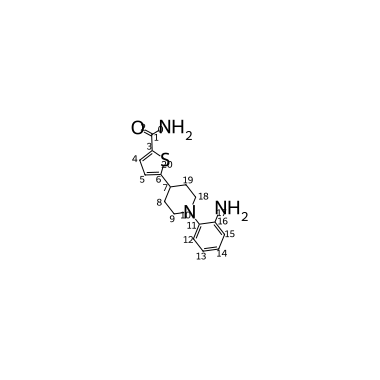 NC(=O)c1ccc(C2CCN(c3ccccc3N)CC2)s1